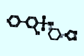 CCc1cc(-c2ccncc2)ccc1S(=O)(=O)N[C@H]1CCC[C@@H](n2cnnc2)C1